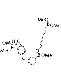 COB(CCCCCCOB(OC)c1cccc(Cc2ccc(C)c(B(OC)OC)c2)c1)OC